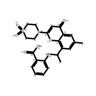 Cc1cc(C(C)Nc2ccccc2C(=O)O)c2oc(N3CCS(=O)(=O)CC3)cc(=O)c2c1